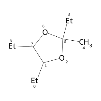 CCC1OC(C)(CC)OC1CC